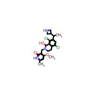 COc1cc(C)[nH]c(=O)c1CN1CCc2c(Cl)cc(C(C)C3CNC3)c(Cl)c2C1O